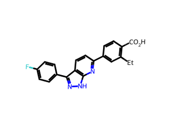 CCc1cc(-c2ccc3c(-c4ccc(F)cc4)n[nH]c3n2)ccc1C(=O)O